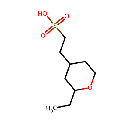 CCC1CC(CCS(=O)(=O)O)CCO1